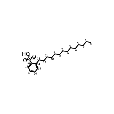 CCCCCCCCCCCCCCc1ccccc1S(=O)(=O)O